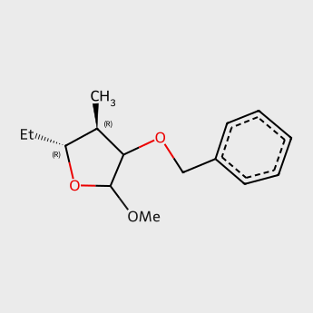 CC[C@H]1OC(OC)C(OCc2ccccc2)[C@@H]1C